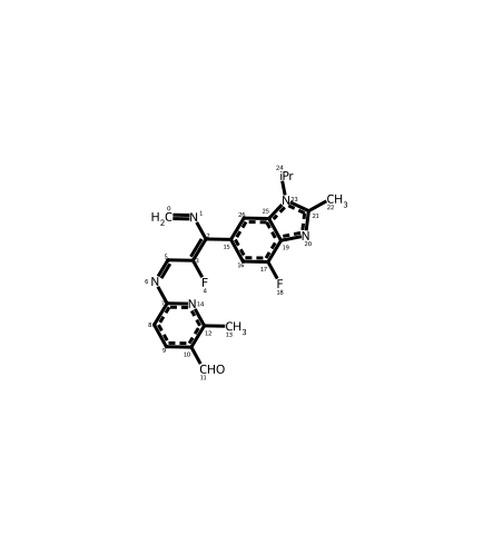 C=N/C(=C(F)\C=N/c1ccc(C=O)c(C)n1)c1cc(F)c2nc(C)n(C(C)C)c2c1